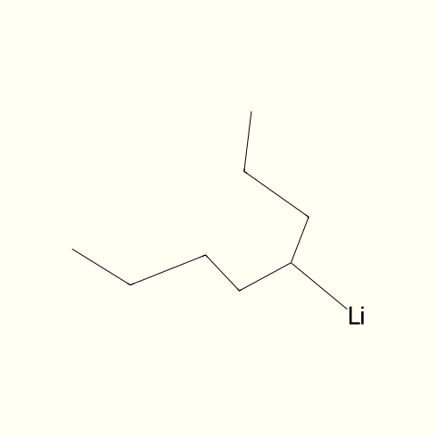 [Li][CH](CCC)CCCC